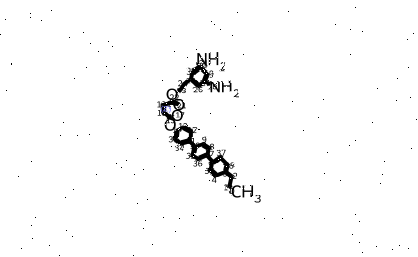 CCCc1ccc(-c2ccc(-c3ccc(OC(=O)/C=C\C(=O)OCCc4cc(N)cc(N)c4)cc3)cc2)cc1